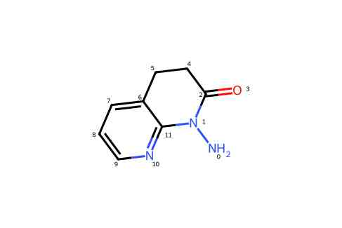 NN1C(=O)CCc2cccnc21